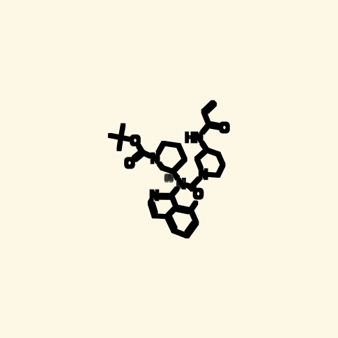 C=CC(=O)NC1CCCN(C(=O)N(c2nccc3cccc(C)c23)[C@@H]2CCCN(C(=O)OC(C)(C)C)C2)C1